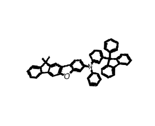 CC1(C)c2ccccc2-c2cc3oc4cc(N(c5ccccc5)c5cccc(C6(c7ccccc7)c7ccccc7-c7ccccc76)c5)ccc4c3cc21